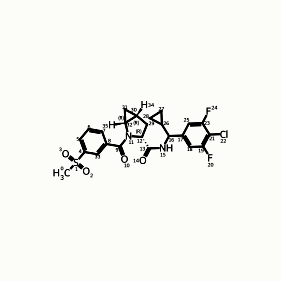 CS(=O)(=O)c1cccc(C(=O)N2[C@@H](C(=O)NC(c3cc(F)c(Cl)c(F)c3)C3CC3)C[C@H]3C[C@H]32)c1